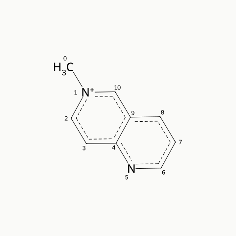 C[n+]1ccc2ncccc2c1